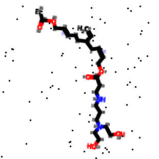 C=CC(C/C=C\COC(=O)CCNCCCN(CCO)CCO)CC/C=C/COC(=O)CC